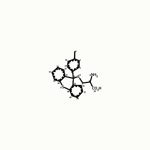 Cc1ccc(C2(SCC(N)C(=O)O)c3ccccc3Sc3ccccc32)cc1